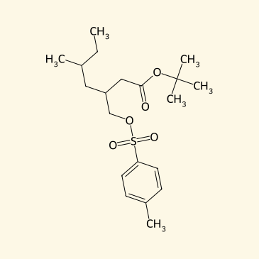 CCC(C)CC(COS(=O)(=O)c1ccc(C)cc1)CC(=O)OC(C)(C)C